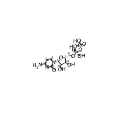 Nc1ccn([C@@H]2O[C@H](COP(=O)(O)OP(=O)(O)O)C(O)C2O)c(=O)n1